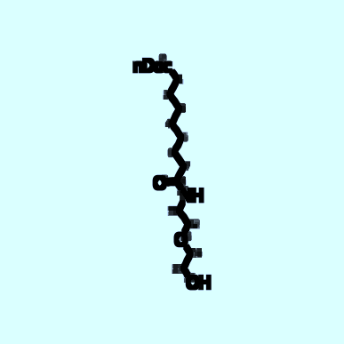 CCCCCCCCCCCCCCCCCC(=O)NCCOCCO